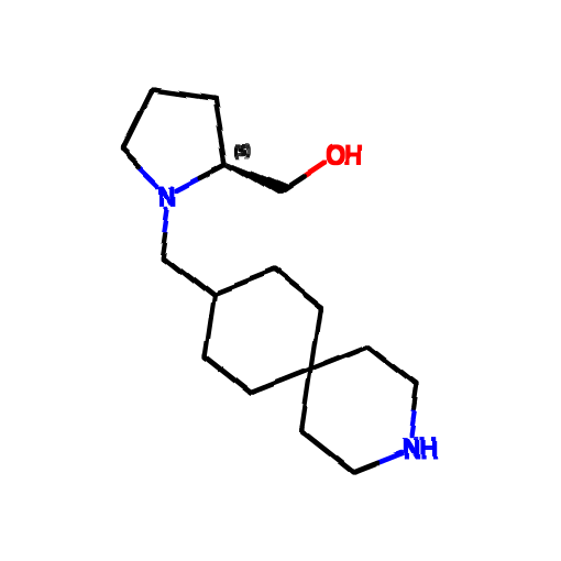 OC[C@@H]1CCCN1CC1CCC2(CCNCC2)CC1